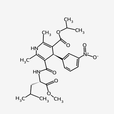 COC(=O)[C@H](CC(C)C)NC(=O)C1=C(C)NC(C)=C(C(=O)OC(C)C)[C@H]1c1cccc([N+](=O)[O-])c1